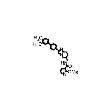 COc1ncccc1C(=O)NCC1CCc2nc(-c3ccc(-c4ccc(C)c(C)c4)cc3)cn2C1